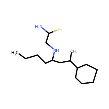 CCCCC(CC(C)C1CCCCC1)NCC(N)S